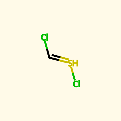 ClC=[SH]Cl